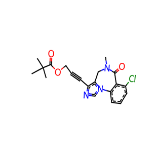 CN1Cc2c(C#CCOC(=O)C(C)(C)C)ncn2-c2cccc(Cl)c2C1=O